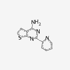 Nc1nc(-c2ccccn2)nc2sccc12